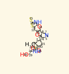 Cc1cc(-c2cncc3cc(C=C4SC(=S)NC4=O)oc23)ccc1S(=O)(=O)NCCO